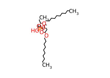 CCCCCCCCCCOC(CC)OP(=O)(O)OC(CC)OCCCCCCCCCC